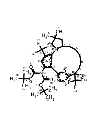 CC1(C)CC2CCCCCC(O)(C(F)(F)F)c3nnc(o3)-c3nc(c(C(F)(F)F)cc3N(C(=O)OC(C)(C)C)C(=O)OC(C)(C)C)N2C1